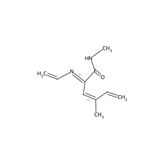 C=C/N=C(\C=C(\C)C=C)C(=O)NC